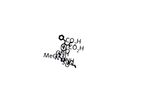 C=CCOC(=O)Nc1nc(/C(=N/OC)C(=O)N[C@H]2CN3CC(C(C(=O)O)c4ccccc4)=C(C(C=C)C(=O)O)N3C2=O)cs1